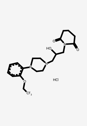 Cl.O=C1CCCC(=O)N1CC(O)CN1CCN(c2ccccc2OCC(F)(F)F)CC1